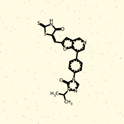 CC(C)n1ncn(-c2ccc(-c3cncc4cc(C=C5SC(=S)NC5=O)oc34)cc2)c1=O